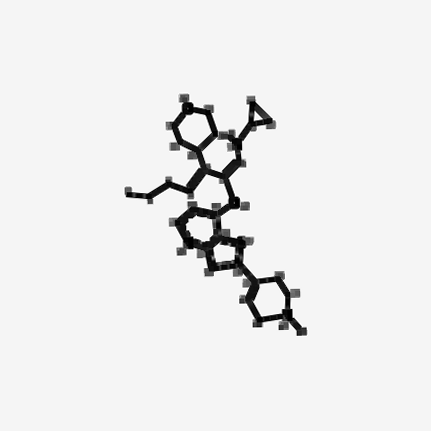 CCC/C=C(/C(=C\N(C)C1CC1)Oc1ccnc2cc(C3=CCN(C)CC3)sc12)C1CCOCC1